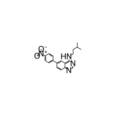 CC(C)CCNc1ncnc2ccc(-c3ccc([N+](=O)[O-])cc3)cc12